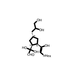 CCCCCCC=C(O)[C@@H]1C[C@@H](CC(O)CO)C[C@@H]1C(O)(O)C=O